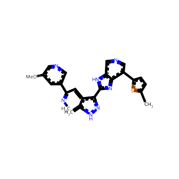 C=c1[nH]nc(-c2nc3c(-c4ccc(C)s4)cncc3[nH]2)/c1=C/C(=N\C)c1cncc(OC)c1